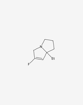 CCC12C=C(F)CN1CCC2